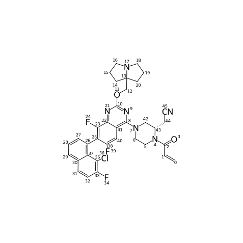 C=CC(=O)N1CCN(c2nc(OCC34CCCN3CCC4)nc3c(F)c(-c4cccc5ccc(F)c(Cl)c45)c(F)cc23)C[C@@H]1CC#N